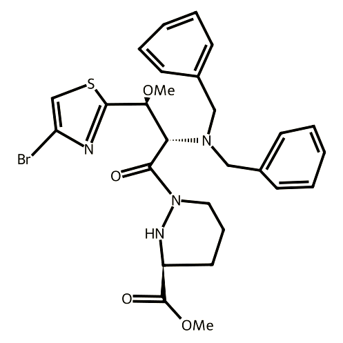 COC(=O)[C@@H]1CCCN(C(=O)[C@H]([C@H](OC)c2nc(Br)cs2)N(Cc2ccccc2)Cc2ccccc2)N1